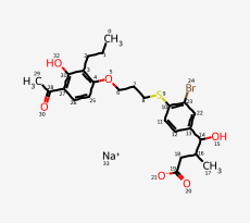 CCCc1c(OCCCSc2ccc(C(O)C(C)CC(=O)[O-])cc2Br)ccc(C(C)=O)c1O.[Na+]